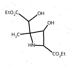 CCOC(=O)C1NC(C)(C(O)C(=O)OCC)C1O